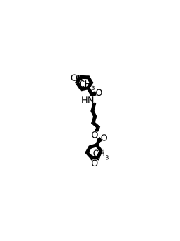 CC12CCC(C(=O)NCCCCCOC(=O)C3CCC4(C)OC4C3)CC1O2